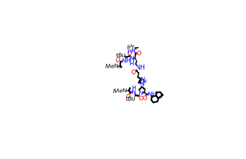 CN[C@@H](C)C(=O)NC(C(=O)N[C@@H](CCNC(=O)CCc1cn([C@H]2C[C@@H](C(=O)N[C@@H]3CCCc4ccccc43)N(C(=O)[C@@H](NC(=O)[C@H](C)NC)C(C)(C)C)C2)nn1)C(=O)N[C@H](C)C(C)C)C(C)(C)C